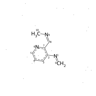 C=Nc1cccnc1/C=N\C